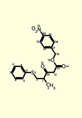 CC(CSc1ccccc1)C(=O)CC(=O)OCc1ccc([N+](=O)[O-])cc1